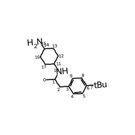 CC(Cc1ccc(C(C)(C)C)cc1)NC1CCC(N)CC1